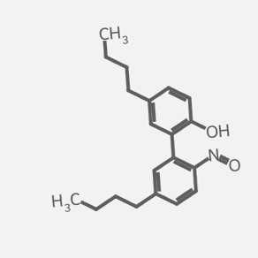 CCCCc1ccc(O)c(-c2cc(CCCC)ccc2N=O)c1